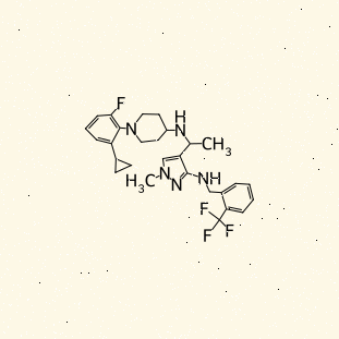 CC(NC1CCN(c2c(F)cccc2C2CC2)CC1)c1cn(C)nc1NCc1ccccc1C(F)(F)F